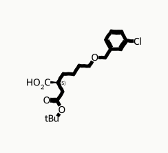 CC(C)(C)OC(=O)C[C@H](CCCCOCc1cccc(Cl)c1)C(=O)O